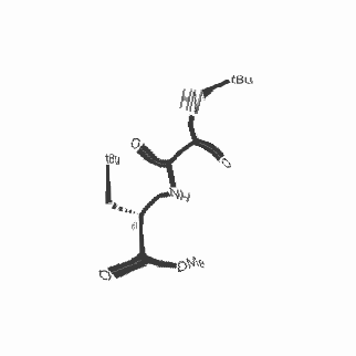 COC(=O)[C@H](CC(C)(C)C)NC(=O)C(=O)NC(C)(C)C